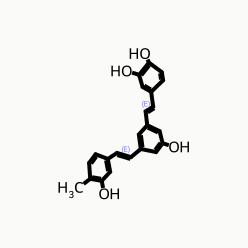 Cc1ccc(/C=C/c2cc(O)cc(/C=C/c3ccc(O)c(O)c3)c2)cc1O